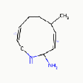 CC1/C=C\C(N)NC/C=C\CC1